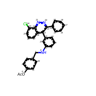 CC(=O)Oc1ccc(CNc2cccc(-c3c(-c4ccccc4)nnc4c(Cl)cccc34)c2)cc1